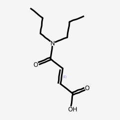 CCCN(CCC)C(=O)/C=C/C(=O)O